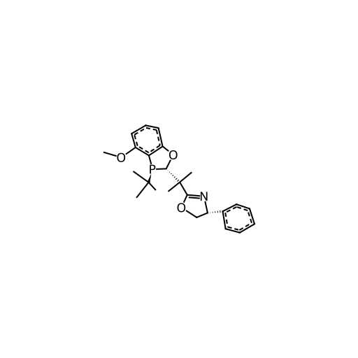 COc1cccc2c1[P@](C(C)(C)C)[C@@H](C(C)(C)C1=N[C@H](c3ccccc3)CO1)O2